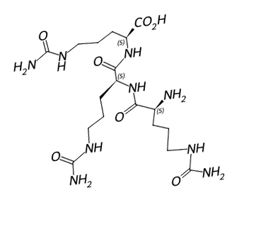 NC(=O)NCCC[C@H](NC(=O)[C@H](CCCNC(N)=O)NC(=O)[C@@H](N)CCCNC(N)=O)C(=O)O